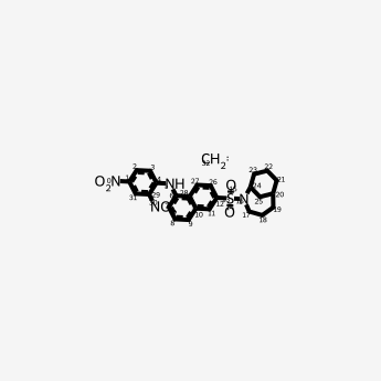 O=[N+]([O-])c1ccc(Nc2cccc3cc(S(=O)(=O)N4CCCC5CCCC4C5)ccc23)c([N+](=O)[O-])c1.[CH2]